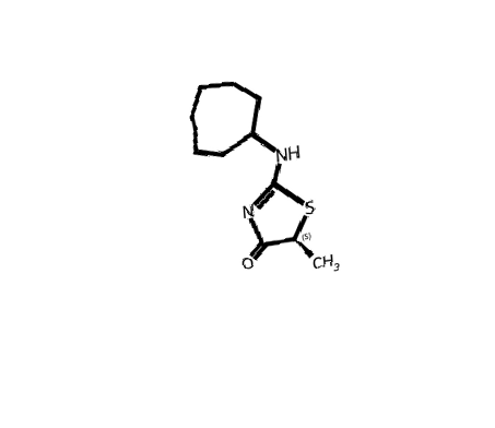 C[C@@H]1SC(NC2CCCCCC2)=NC1=O